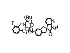 CC(C)(C)C(=O)N(CC(=O)Nc1ccc2c(c1)CC1(C2)C(=O)Nc2ncccc21)Cc1c(F)cccc1C=O